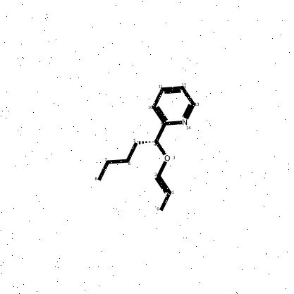 CC=CO[C@H](CCCC)c1ccccn1